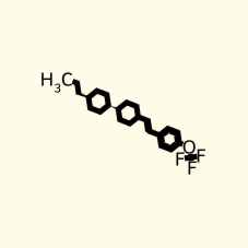 CCC[C@H]1CC[C@H](C2CCC(/C=C/c3ccc(OC(F)(F)F)cc3)CC2)CC1